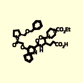 CCOC(=O)N1CCN(C(=O)C(CCC(=O)O)NC(=O)c2cc(OCC(=O)N3CCC[C@H]3COCc3ccccc3)c3ccccc3n2)CC1